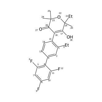 CCc1cc(-c2c(F)cc(F)cc2F)ccc1C1=C(O)C(C)(CC)OC(C)(C)C1=O